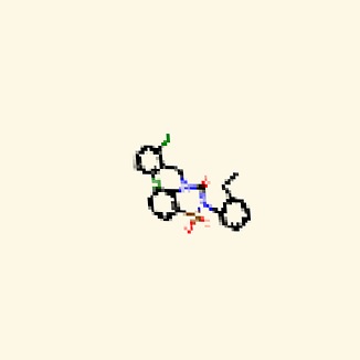 CCc1ccccc1N1C(=O)N(Cc2c(F)cccc2Cl)c2ccccc2S1(=O)=O